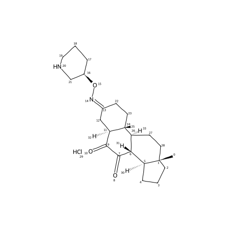 C[C@@]12CCC[C@H]1[C@@H]1C(=O)C(=O)[C@H]3CC(=NO[C@@H]4CCCNC4)CC[C@]3(C)[C@H]1CC2.Cl